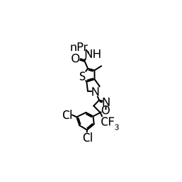 CCCNC(=O)c1sc2c(c1C)CN(C1=NOC(c3cc(Cl)cc(Cl)c3)(C(F)(F)F)C1)C2